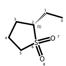 CC[C@H]1CCCS1(=O)=O